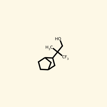 CC(CO)(C1CC2CCC1C2)C(F)(F)F